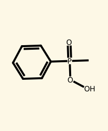 CP(=O)(OO)c1ccccc1